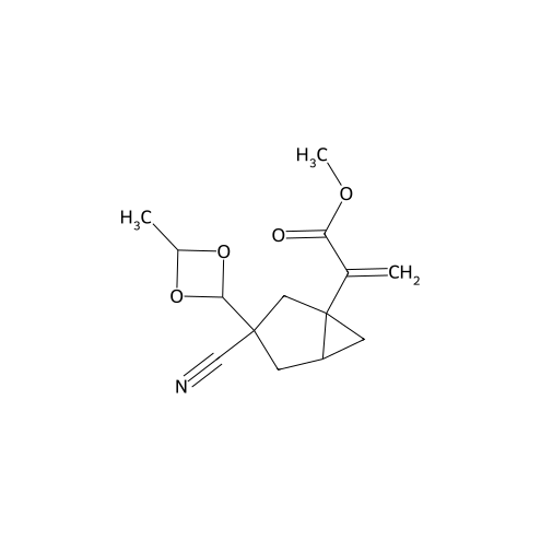 C=C(C(=O)OC)C12CC1CC(C#N)(C1OC(C)O1)C2